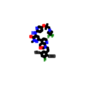 CN(/C=C\c1cc(C(C)(C)C)cc(F)c1C=O)c1nccc(-c2cc(Nc3ccc(OC(C)(C)CN4CC(F)(F)C4)cn3)c(=O)n(C)n2)c1CO